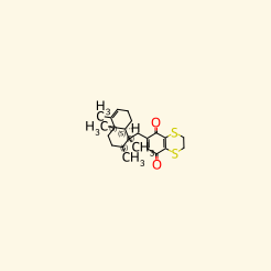 CC1=CCC[C@H]2[C@](C)(CC3=CC(=O)C4=C(SCCS4)C3=O)[C@@H](C)CC[C@]12C